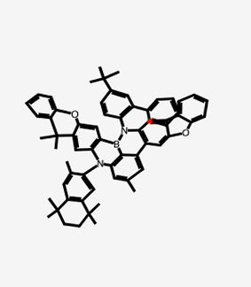 Cc1cc2c3c(c1)N(c1cc4c(cc1C)C(C)(C)CCC4(C)C)c1cc4c(cc1B3N(c1ccc(C(C)(C)C)cc1-c1ccccc1)c1cc3c(cc1-2)oc1ccccc13)Oc1ccccc1C4(C)C